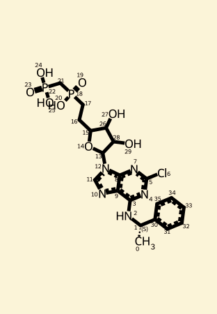 C[C@H](Nc1nc(Cl)nc2c1ncn2C1OC(CCP(=O)(O)CP(=O)(O)O)C(O)C1O)c1ccccc1